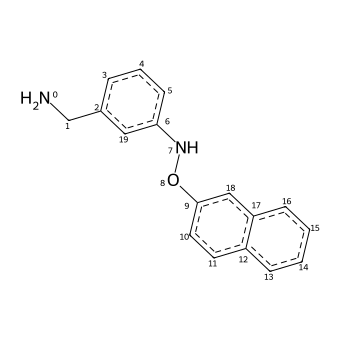 NCc1cccc(NOc2ccc3ccccc3c2)c1